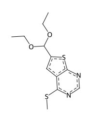 CCOC(OCC)c1cc2c(SC)ncnc2s1